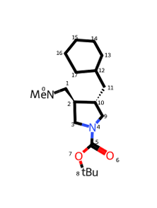 CNC[C@@H]1CN(C(=O)OC(C)(C)C)C[C@H]1CC1CCCCC1